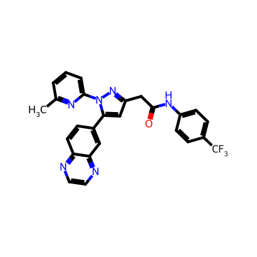 Cc1cccc(-n2nc(CC(=O)Nc3ccc(C(F)(F)F)cc3)cc2-c2ccc3nccnc3c2)n1